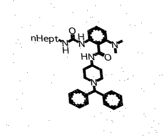 CCCCCCCNC(=O)Nc1cccc(N(C)C)c1C(=O)NC1CCN(C(c2ccccc2)c2ccccc2)CC1